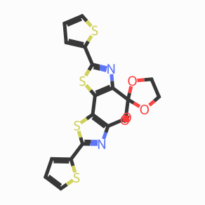 c1csc(-c2nc3c(s2)-c2sc(-c4cccs4)nc2C2(OCCO2)C32OCCO2)c1